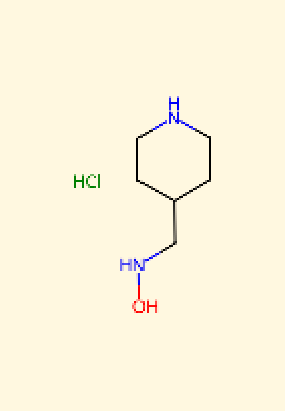 Cl.ONCC1CCNCC1